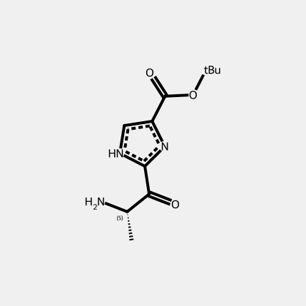 C[C@H](N)C(=O)c1nc(C(=O)OC(C)(C)C)c[nH]1